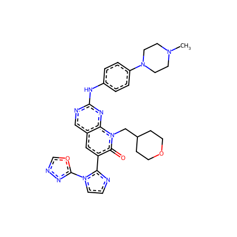 CN1CCN(c2ccc(Nc3ncc4cc(-c5nccn5-c5nnco5)c(=O)n(CC5CCOCC5)c4n3)cc2)CC1